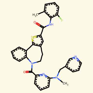 Cc1cccc(F)c1NC(=O)c1cc2c(s1)-c1ccccc1N(C(=O)c1cccc(N(C)Cc3cccnc3)n1)CC2